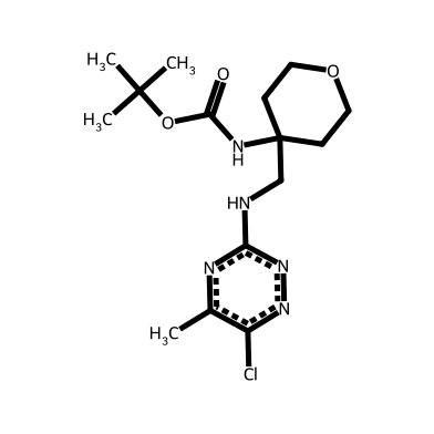 Cc1nc(NCC2(NC(=O)OC(C)(C)C)CCOCC2)nnc1Cl